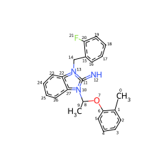 Cc1ccccc1OC(C)n1c(=N)n(Cc2ccccc2F)c2ccccc21